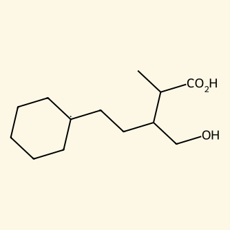 CC(C(=O)O)C(CO)CC[C]1CCCCC1